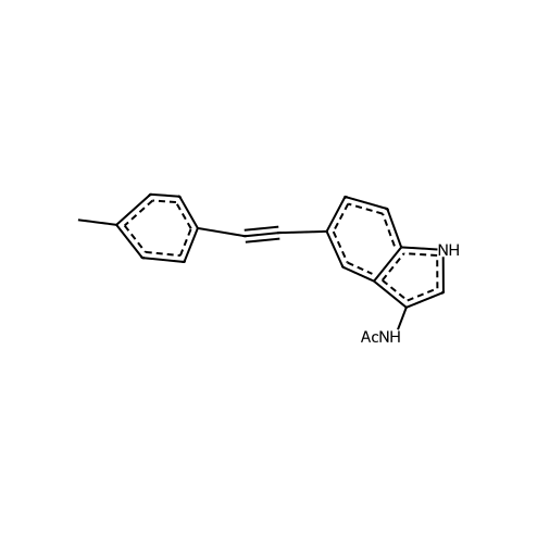 CC(=O)Nc1c[nH]c2ccc(C#Cc3ccc(C)cc3)cc12